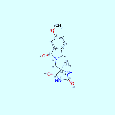 COc1ccc2c(c1)C(=O)N(C[C@@]1(C)NC(=O)NC1=O)C2